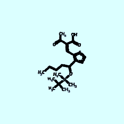 CCCCC(O[Si](C)(C)C(C)(C)C)c1ccsc1C=C(C(C)=O)C(=O)O